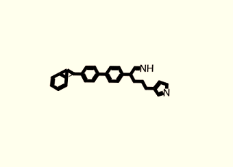 N=CC(CCCC1=CCN=C1)c1ccc(-c2ccc(C3C4C5C=CC=C[C@]534)cc2)cc1